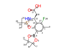 Cc1cc(B2OC(C)(C)C(C)(C)O2)cc([C@H](CC(=O)O)N[S+]([O-])C(C)(C)C)c1F